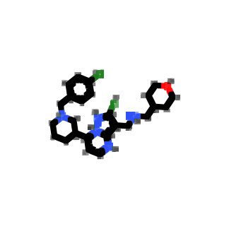 Clc1ccc(CN2CCCC(c3ccnc4c(CNCC5CCOCC5)c(Cl)nn34)C2)cc1